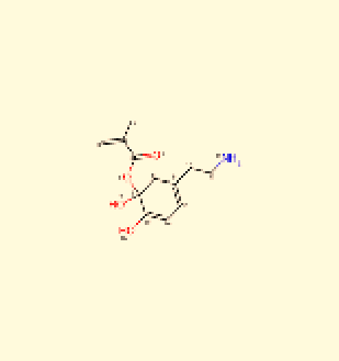 C=C(C)C(=O)OC1(O)CC(CCN)=CC=C1O